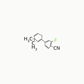 CC1(C)C=CCC(c2ccc(C#N)c(F)c2)=C1